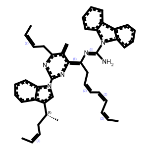 C=c1c(C/C=C\C)nc(-n2cc([C@H](C)C/C=C\C)c3ccccc32)n/c1=C(C\C=C/C=C\C=C/C)/N=C(\N)n1c2ccccc2c2ccccc21